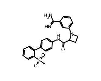 CS(=O)(=O)c1ccccc1-c1ccc(NC(=O)C2CCN2c2cccc(C(=N)N)c2)cc1